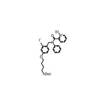 CCCCCCCCCCCCCCOc1ccc(CN(C(=O)c2cccc[n+]2CC)c2ccccc2)c(C)c1.[I-]